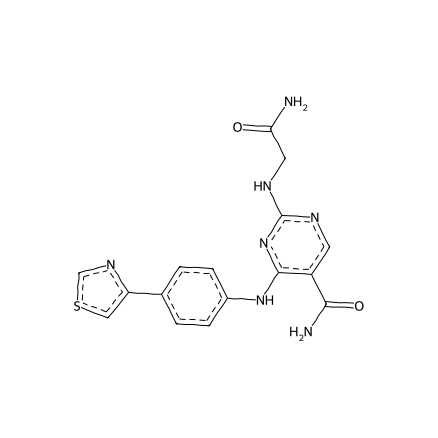 NC(=O)CNc1ncc(C(N)=O)c(Nc2ccc(-c3cscn3)cc2)n1